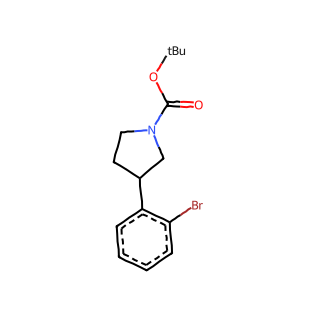 CC(C)(C)OC(=O)N1CCC(c2ccccc2Br)C1